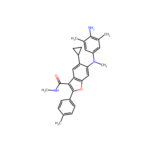 CNC(=O)c1c(-c2ccc(C)cc2)oc2cc(N(C)c3cc(C)c(N)c(C)c3)c(C3CC3)cc12